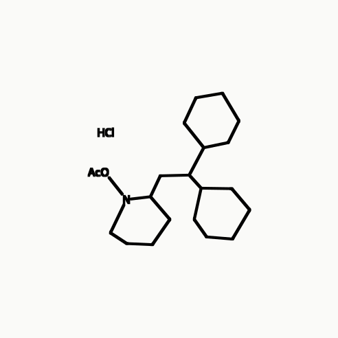 CC(=O)ON1CCCCC1CC(C1CCCCC1)C1CCCCC1.Cl